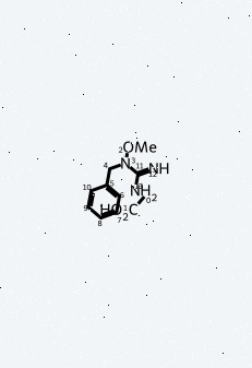 CC(=O)O.CON(Cc1ccccc1)C(=N)N